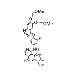 COCCOc1cc2ncnc(Oc3ccc(Nc4nccc5[nH]cc(-c6ccccc6F)c(=O)c45)cc3F)c2cc1OCCOC